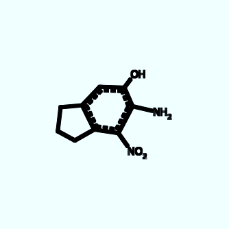 Nc1c(O)cc2c(c1[N+](=O)[O-])CCC2